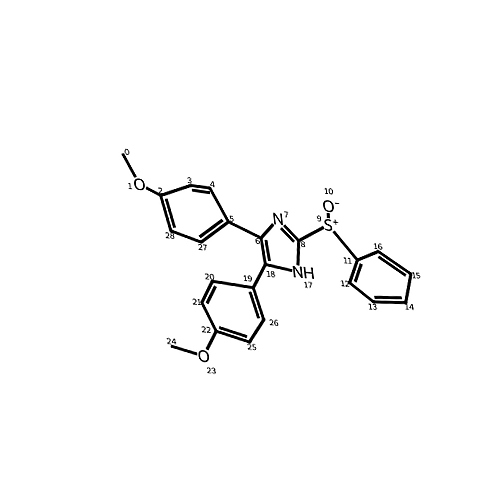 COc1ccc(-c2nc([S+]([O-])c3ccccc3)[nH]c2-c2ccc(OC)cc2)cc1